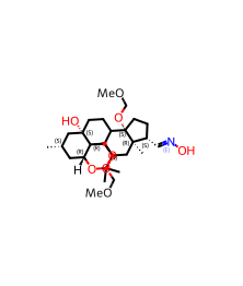 COCO[C@@H]1C[C@]2(C)[C@@H](/C=N/O)CC[C@]2(OCOC)C2CC[C@]3(O)C[C@@H](C)C[C@H]4OC(C)(C)OC[C@]43C21